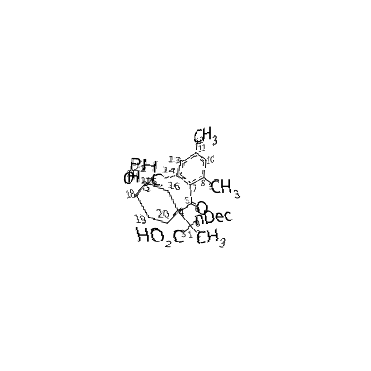 CCCCCCCCCCC(C)(C(=O)O)C1(C(=O)c2c(C)cc(C)cc2C)CCCCC1.O=P